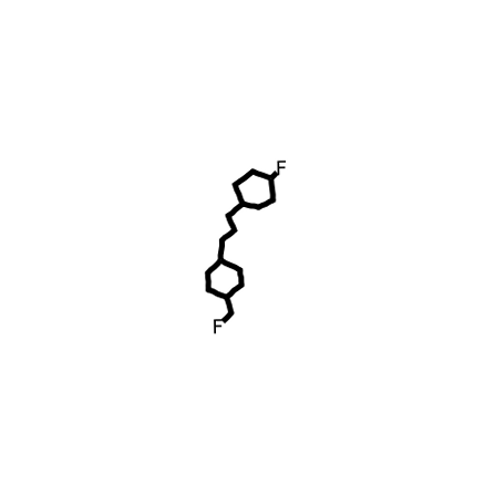 FCC1CCC(CCCC2CCC(F)CC2)CC1